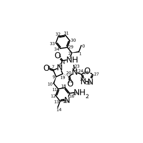 CC[C@@H](NC(=O)N1C(=O)[C@H](Cc2cc(C)nc(N)c2)[C@H]1C(=O)N(C)c1nnco1)c1ccccc1